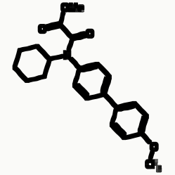 COC(=O)C(=O)N(c1ccc(-c2ccc(OC(F)(F)F)cc2)cc1)C1CCCCC1